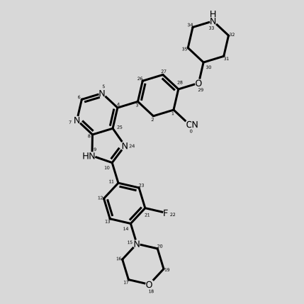 N#CC1CC(c2ncnc3[nH]c(-c4ccc(N5CCOCC5)c(F)c4)nc23)=CC=C1OC1CCNCC1